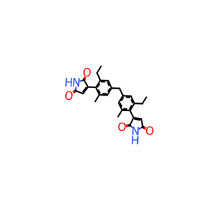 CCc1cc(Cc2cc(C)c(C3=CC(=O)NC3=O)c(CC)c2)cc(C)c1C1=CC(=O)NC1=O